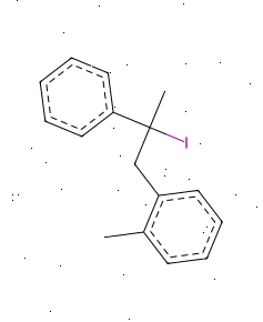 Cc1ccccc1CC(C)(I)c1ccccc1